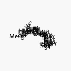 C/C=C/C[C@@H](C)[C@@H](C)[C@@H](C(=O)N[C@@H](CC)C(=O)N(C)CC(=O)OC)N(C)C(=O)[C@H](C(C)C)N(C)C(=O)[C@H](CC(C)C)N(C)C(=O)[C@H](CC(C)C)N(C)C(=O)[C@@H](C)NC(=O)[C@H](C)NC(=O)[C@H](CC(C)C)N(C)C(=O)[C@@H](NC(=O)[C@H](CC(C)C)N(C)C(=S)Nc1ccccc1)C(C)C